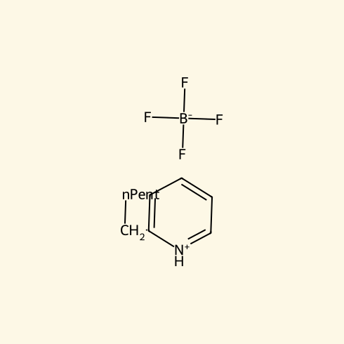 F[B-](F)(F)F.[CH2]CCCCC.c1cc[nH+]cc1